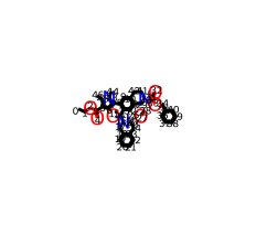 CCOC(=O)c1cc(-c2cc3c(cc2C(=O)N2Cc4ccccc4C[C@H]2COC)CN(C(=O)OCc2ccccc2)CC3)n(C)c1C